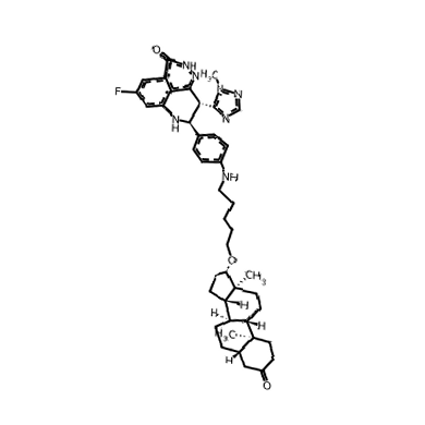 Cn1ncnc1[C@H]1c2n[nH]c(=O)c3cc(F)cc(c23)N[C@@H]1c1ccc(NCCCCCO[C@H]2CC[C@H]3[C@@H]4CC[C@H]5CC(=O)CC[C@]5(C)[C@H]4CC[C@]23C)cc1